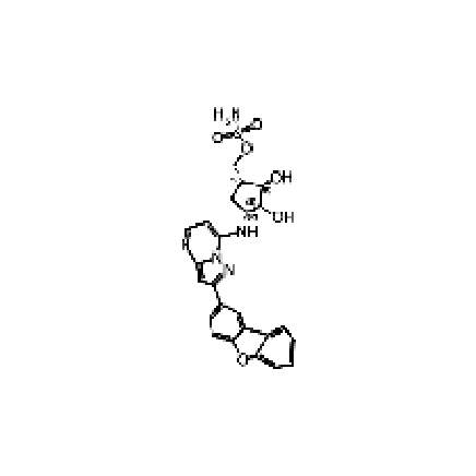 NS(=O)(=O)OC[C@H]1C[C@@H](Nc2ccnc3cc(-c4ccc5oc6ccccc6c5c4)nn23)[C@H](O)[C@@H]1O